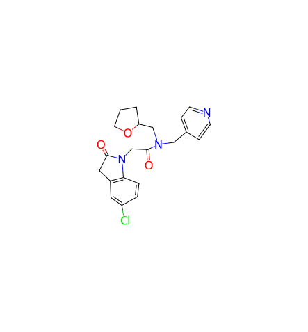 O=C(CN1C(=O)Cc2cc(Cl)ccc21)N(Cc1ccncc1)CC1CCCO1